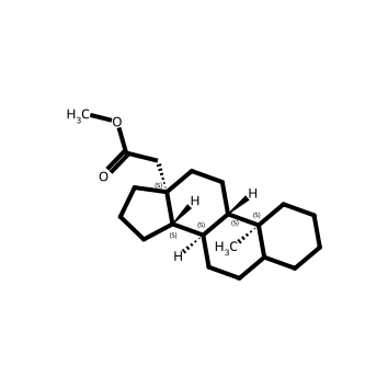 COC(=O)C[C@@]12CCC[C@H]1[C@@H]1CCC3CCCC[C@]3(C)[C@H]1CC2